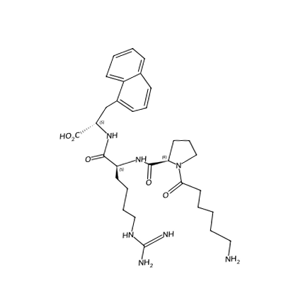 N=C(N)NCCCC[C@H](NC(=O)[C@H]1CCCN1C(=O)CCCCCN)C(=O)N[C@@H](Cc1cccc2ccccc12)C(=O)O